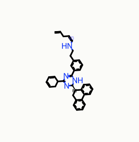 C=CC/C=C\NCCc1cccc(C2=NC(C3C=CC=CC3)=NC([C@@H]3Cc4ccccc4-c4ccccc43)N2)c1